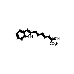 N#CC(=CC=CC=Cc1cc2ccccc2[nH]1)C(=O)O